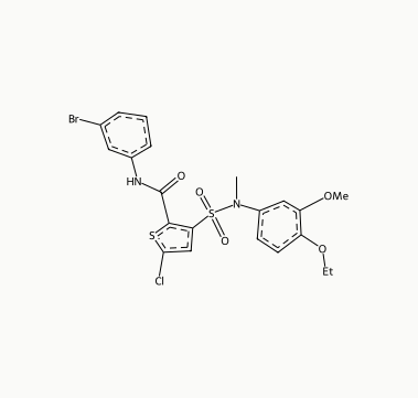 CCOc1ccc(N(C)S(=O)(=O)c2cc(Cl)sc2C(=O)Nc2cccc(Br)c2)cc1OC